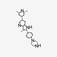 Cc1cc(-c2cnc3c(C)c(-c4ccc(N5CCNCC5)cc4)[nH]c3c2)cc(C)n1